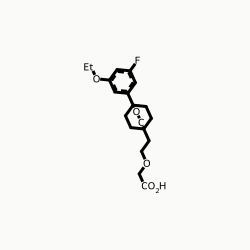 CCOc1cc(F)cc(C23CCC(CCOCC(=O)O)(CC2)CO3)c1